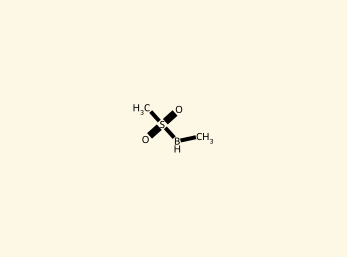 CBS(C)(=O)=O